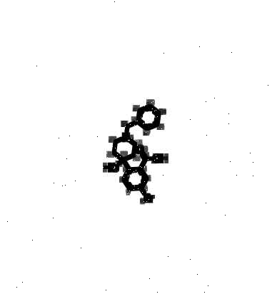 O=C(O)c1cc(Br)ccc1C1(O)CCN(Cc2ccccc2)CC1